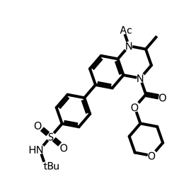 CC(=O)N1c2ccc(-c3ccc(S(=O)(=O)NC(C)(C)C)cc3)cc2N(C(=O)OC2CCOCC2)CC1C